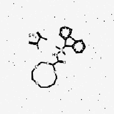 C=C(C)C(=C)C.[CH3][Ti]([CH3])([NH]C(=O)C1CCCCCCCCCCC1)[CH]1c2ccccc2-c2ccccc21.[SiH4]